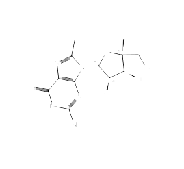 Cc1nc2c(=O)[nH]c(N)nc2n1[C@@H]1O[C@](C)(CO)[C@@H](O)[C@H]1O